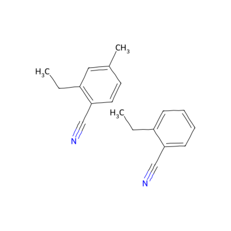 CCc1cc(C)ccc1C#N.CCc1ccccc1C#N